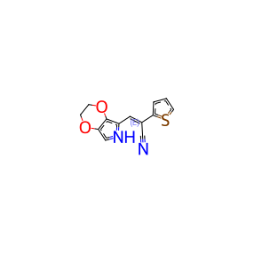 N#C/C(=C\c1[nH]cc2c1OCCO2)c1cccs1